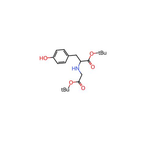 CC(C)(C)OC(=O)CNC(Cc1ccc(O)cc1)C(=O)OC(C)(C)C